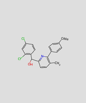 COc1ccc(-c2nc(C(O)c3ccc(Cl)cc3Cl)ccc2C)cc1